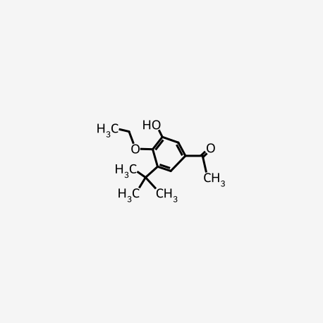 CCOc1c(O)cc(C(C)=O)cc1C(C)(C)C